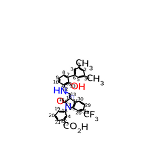 Cc1cc(C)cc(-c2cccc(N/C=C3\C(=O)N(c4cccc(C(=O)O)c4)c4cc(C(F)(F)F)ccc43)c2O)c1